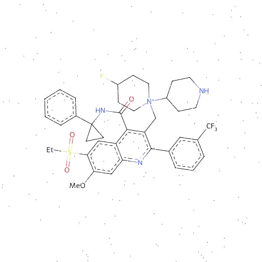 CCS(=O)(=O)c1cc2c(C(=O)NC3(c4ccccc4)CC3)c(C[N+]3(C4CCNCC4)CCC(F)CC3)c(-c3cccc(C(F)(F)F)c3)nc2cc1OC